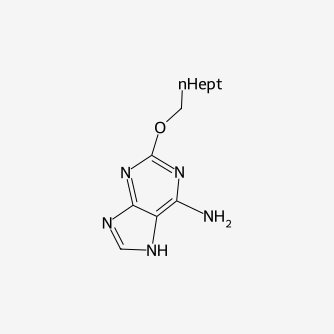 CCCCCCCCOc1nc(N)c2[nH]cnc2n1